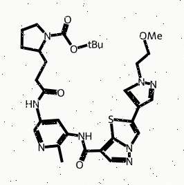 COCCn1cc(-c2cn3ncc(C(=O)Nc4cc(NC(=O)CCC5CCCN5C(=O)OC(C)(C)C)cnc4C)c3s2)cn1